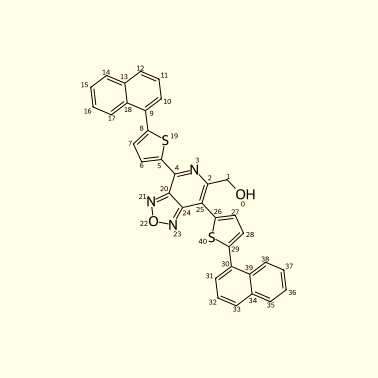 OCc1nc(-c2ccc(-c3cccc4ccccc34)s2)c2nonc2c1-c1ccc(-c2cccc3ccccc23)s1